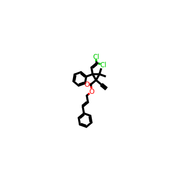 C#CC1(C(=O)OCC=Cc2ccccc2)C(C)(C)C1(C=C(Cl)Cl)c1ccccc1